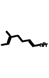 CC=C(C)CCC=CCCC